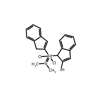 CC(C)C1=Cc2ccccc2[CH]1[Hf]([Cl])([Cl])([C]1=Cc2ccccc2C1)=[Si](C)C